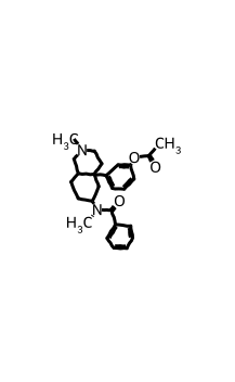 CC(=O)Oc1cccc(C23CCN(C)CC2CCC(N(C)C(=O)c2ccccc2)C3)c1